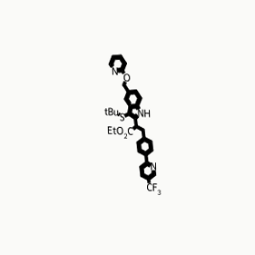 CCOC(=O)C(Cc1ccc(-c2ccc(C(F)(F)F)cn2)cc1)c1[nH]c2ccc(COc3ccccn3)cc2c1SC(C)(C)C